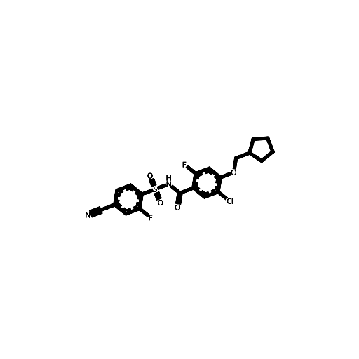 N#Cc1ccc(S(=O)(=O)NC(=O)c2cc(Cl)c(OCC3CCCC3)cc2F)c(F)c1